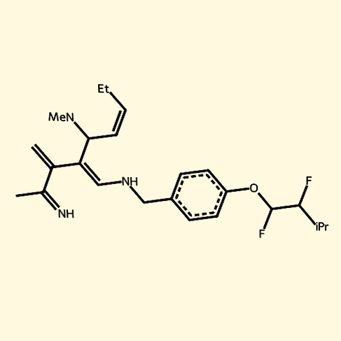 C=C(C(C)=N)/C(=C/NCc1ccc(OC(F)C(F)C(C)C)cc1)C(/C=C\CC)NC